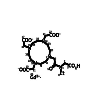 CCN(CC(=O)O)C(=O)CN1CCN(CC(=O)[O-])CCN(CC(=O)[O-])CCN(CC(=O)[O-])CC1.[Gd+3]